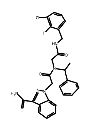 CC(c1ccccc1)N(CC(=O)NCc1cccc(Cl)c1F)C(=O)Cn1nc(C(N)=O)c2ccccc21